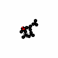 c1ccc(-c2nc(-c3cccc(-n4c5ccccc5c5ccccc54)c3)nc(-c3ccc(-n4c5ccccc5c5ccc(-n6c7ccccc7c7cc(-c8ccc9c(c8)c8ccccc8n9-c8ccccc8)ccc76)cc54)c(-n4c5ccccc5c5ccccc54)c3)n2)cc1